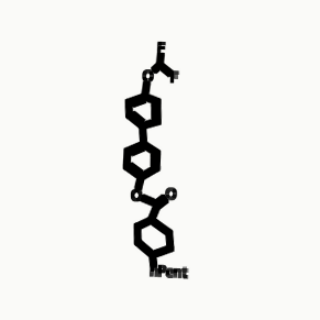 CCCCCC1CCC(C(=O)Oc2ccc(-c3ccc(OC(F)F)cc3)cc2)CC1